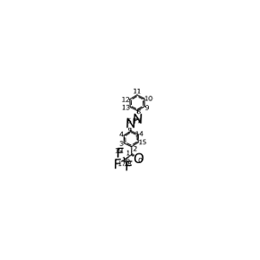 O=C(c1ccc(N=Nc2ccccc2)cc1)C(F)(F)F